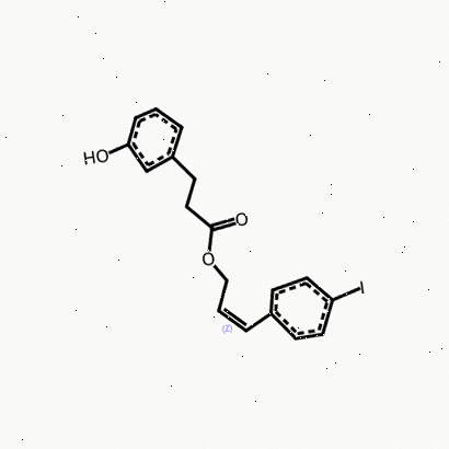 O=C(CCc1cccc(O)c1)OC/C=C\c1ccc(I)cc1